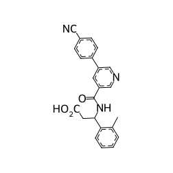 Cc1ccccc1C(CC(=O)O)NC(=O)c1cncc(-c2ccc(C#N)cc2)c1